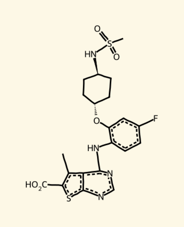 Cc1c(C(=O)O)sc2ncnc(Nc3ccc(F)cc3O[C@H]3CC[C@H](NS(C)(=O)=O)CC3)c12